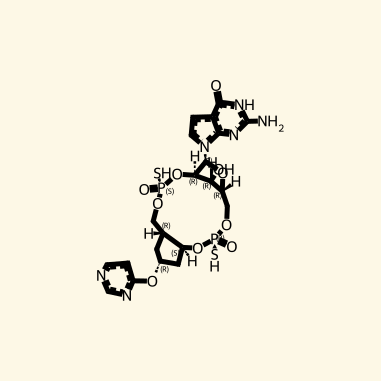 Nc1nc2c(ccn2[C@@H]2O[C@@H]3CO[P@@](=O)(S)O[C@H]4C[C@H](Oc5ccncn5)C[C@@H]4CO[P@](=O)(S)O[C@@H]2[C@@H]3O)c(=O)[nH]1